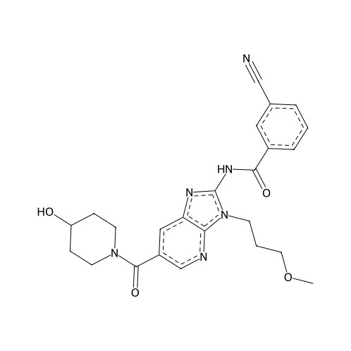 COCCCn1c(NC(=O)c2cccc(C#N)c2)nc2cc(C(=O)N3CCC(O)CC3)cnc21